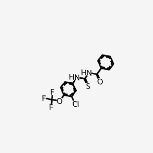 O=C(NC(=S)Nc1ccc(OC(F)(F)F)c(Cl)c1)c1ccccc1